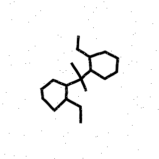 CCC1CCCCC1C(C)(C)C1CCCCC1CC